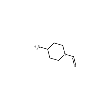 NC1CCN(C=S)CC1